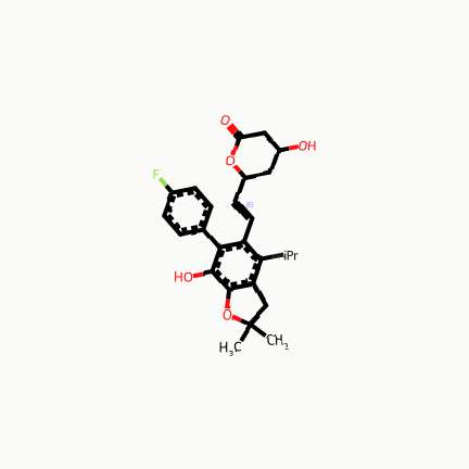 CC(C)c1c(/C=C/C2CC(O)CC(=O)O2)c(-c2ccc(F)cc2)c(O)c2c1CC(C)(C)O2